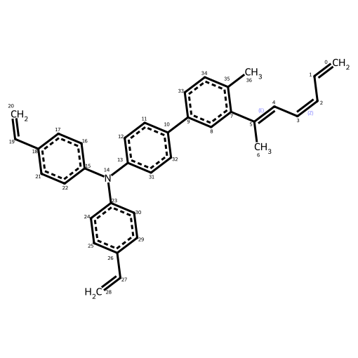 C=C/C=C\C=C(/C)c1cc(-c2ccc(N(c3ccc(C=C)cc3)c3ccc(C=C)cc3)cc2)ccc1C